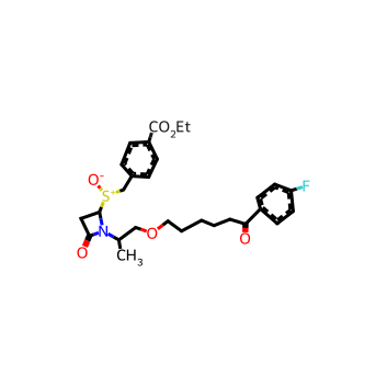 CCOC(=O)c1ccc(C[S+]([O-])C2CC(=O)N2C(C)COCCCCCC(=O)c2ccc(F)cc2)cc1